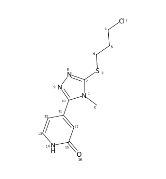 Cn1c(SCCCCl)nnc1-c1cc[nH]c(=O)c1